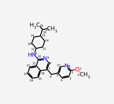 COc1ccc(Cc2cnc(NC3CCC(C(C)C)CC3)c3ccccc23)cn1